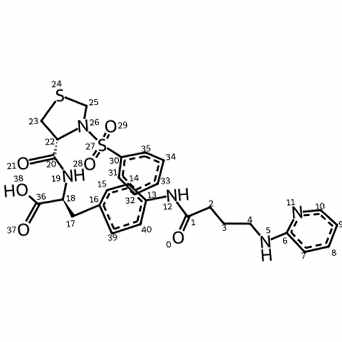 O=C(CCCNc1ccccn1)Nc1ccc(C[C@H](NC(=O)[C@@H]2CSCN2S(=O)(=O)c2ccccc2)C(=O)O)cc1